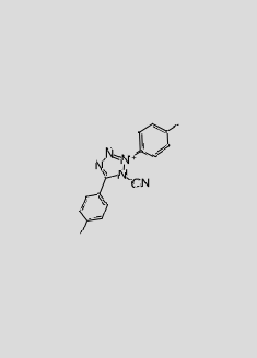 Cc1ccc(-c2nn[n+](-c3ccc(C)cc3)n2C#N)cc1